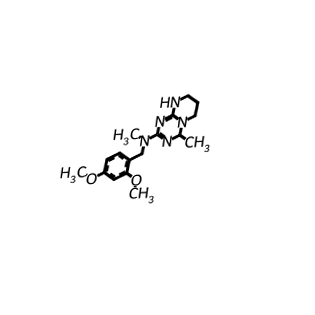 COc1ccc(CN(C)C2=NC(C)N3CCCNC3=N2)c(OC)c1